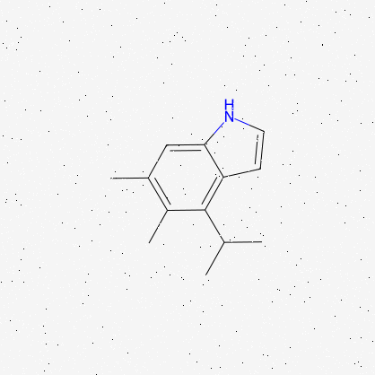 Cc1cc2[nH]ccc2c(C(C)C)c1C